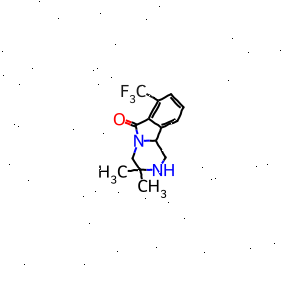 CC1(C)CN2C(=O)c3c(cccc3C(F)(F)F)C2CN1